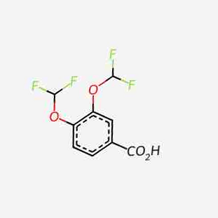 O=C(O)c1ccc(OC(F)F)c(OC(F)F)c1